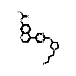 CC(C)(C)C(=O)Oc1ccc2c(c1)SCC=C2c1cnc(OC2CCN(CCCF)C2)nc1